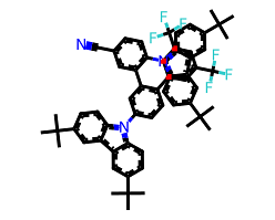 CC(C)(C)c1ccc2c(c1)c1cc(C(C)(C)C)ccc1n2-c1ccc(-c2cc(C(F)(F)F)cc(C(F)(F)F)c2)c(-c2cc(C#N)ccc2-n2c3ccc(C(C)(C)C)cc3c3cc(C(C)(C)C)ccc32)c1